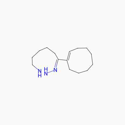 C1=C(C2=NNNCCCCC2)CCCCCCC1